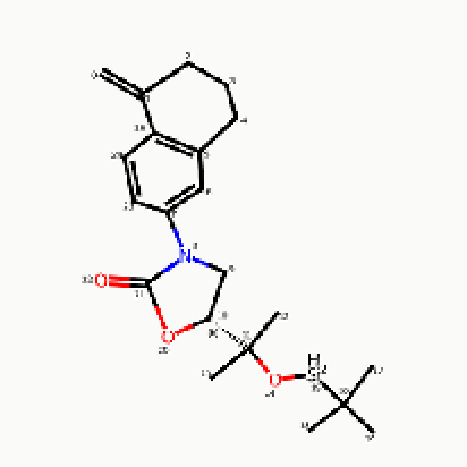 C=C1CCCc2cc(N3C[C@H](C(C)(C)O[SiH2]C(C)(C)C)OC3=O)ccc21